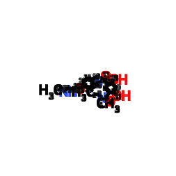 CCCN(C)C(=O)c1cc(C(=O)N2Cc3ccc(OCCCNC)cc3C2)c(O)cc1O